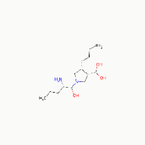 BCCC[C@H]1CN(C(O)[C@@H](N)CCC)C[C@H]1C(O)O